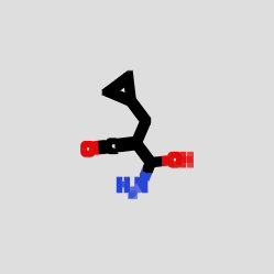 NC(O)C(=C=O)CC1CC1